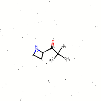 CCCC(C)(C)C(=O)[C@H]1CCN1